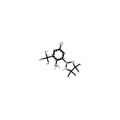 CC1(C)OB(c2cc(Cl)cc(C(F)(F)F)c2N)OC1(C)C